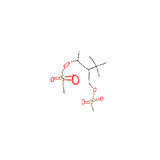 CC(OS(C)(=O)=O)C(COS(C)(=O)=O)C(C)(C)C